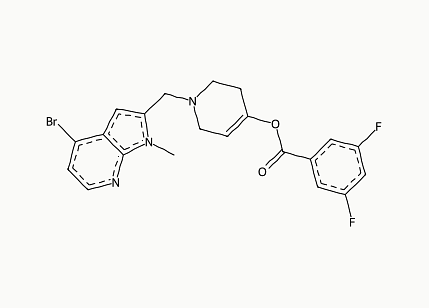 Cn1c(CN2CC=C(OC(=O)c3cc(F)cc(F)c3)CC2)cc2c(Br)ccnc21